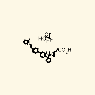 CC1CCCN1CCc1ccc(-c2ccc(C3(C(=O)NCCCC(=O)O)CCCC3)cc2)cc1.O=C(O)C(F)(F)F